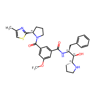 Cc1csc([C@H]2CCCN2C(=O)c2cc(OC(F)(F)F)cc(C(=O)N[C@@H](Cc3ccccc3)[C@@H](O)[C@H]3CCCN3)c2)n1